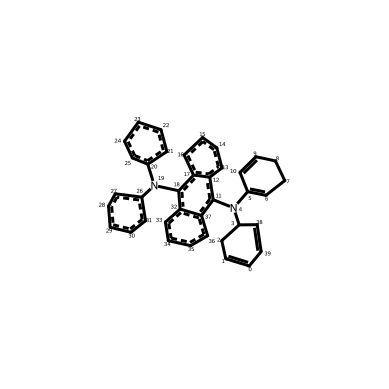 C1=CCC(N(C2=CCCC=C2)c2c3ccccc3c(N(c3ccccc3)c3ccccc3)c3ccccc23)C=C1